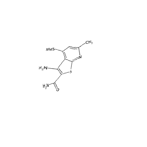 CSc1cc(C)nc2sc(C(N)=O)c(N)c12